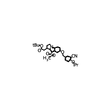 CC(C)Oc1ccc(COc2ccc3c(c2)c(S(C)(=O)=O)c2n3CCC2CC(=O)OC(C)(C)C)cc1C#N